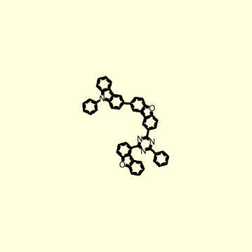 c1ccc(-c2nc(-c3ccc4oc5ccc(-c6ccc7c(c6)c6ccccc6n7-c6ccccc6)cc5c4c3)nc(-c3cccc4oc5ccccc5c34)n2)cc1